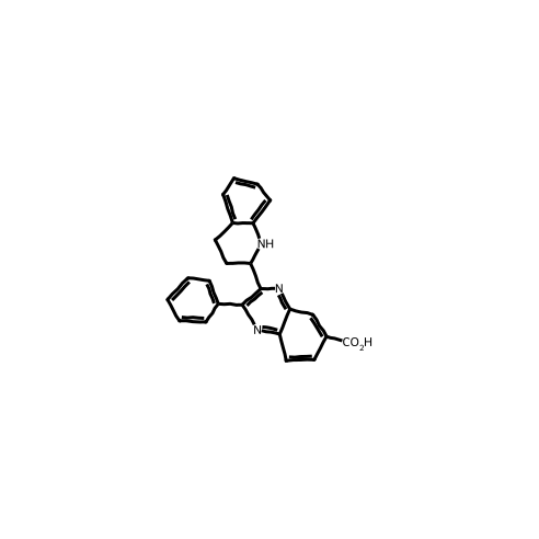 O=C(O)c1ccc2nc(-c3ccccc3)c(C3CCc4ccccc4N3)nc2c1